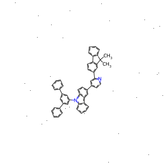 CC1(C)c2ccccc2-c2ccc(-c3cc(-c4ccc5c(c4)c4ccccc4n5-c4cc(-c5ccccc5)cc(-c5ccccc5)c4)ccn3)cc21